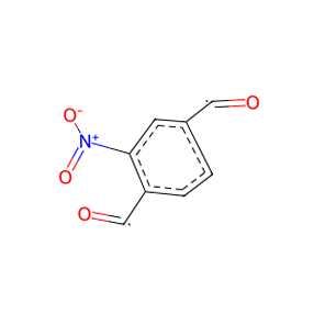 O=[C]c1ccc([C]=O)c([N+](=O)[O-])c1